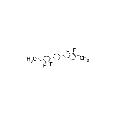 CCCc1ccc(C2CCC(CCc3ccc(CC)c(F)c3F)CC2)c(F)c1F